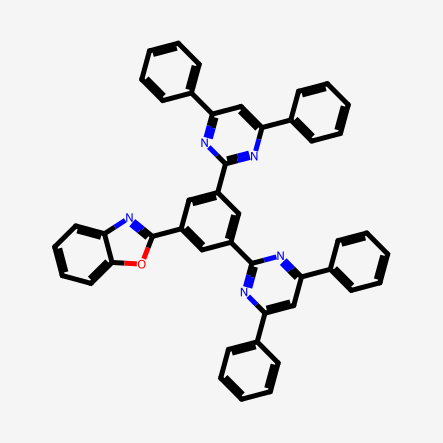 c1ccc(-c2cc(-c3ccccc3)nc(-c3cc(-c4nc(-c5ccccc5)cc(-c5ccccc5)n4)cc(-c4nc5ccccc5o4)c3)n2)cc1